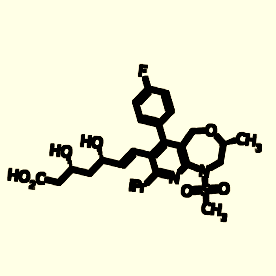 CC(C)c1nc2c(c(-c3ccc(F)cc3)c1/C=C/[C@@H](O)C[C@@H](O)CC(=O)O)CO[C@@H](C)CN2S(C)(=O)=O